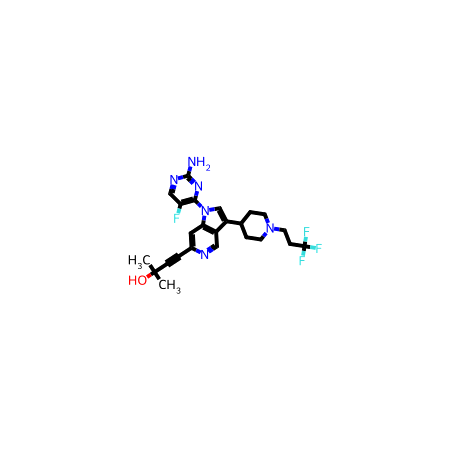 CC(C)(O)C#Cc1cc2c(cn1)c(C1CCN(CCC(F)(F)F)CC1)cn2-c1nc(N)ncc1F